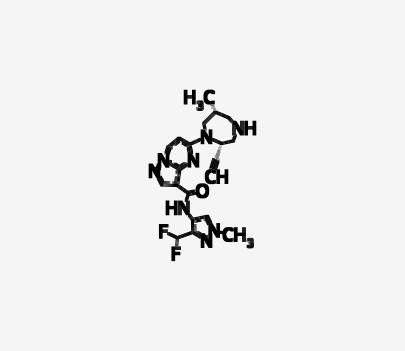 C#C[C@H]1CNC[C@@H](C)CN1c1ccn2ncc(C(=O)Nc3cn(C)nc3C(F)F)c2n1